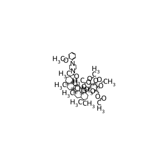 COc1ccccc1N1CCN(C(=O)C2(C)CC[C@]3(C)CC[C@]4(C)C(=CCC5[C@@]6(C)C(O[C@@H]7O[C@H](COC(C)=O)[C@@H](OC(C)=O)[C@@H](OC(C)=O)[C@H]7OC(C)=O)CCC(C)(C)C6CC[C@]54C)[C@@H]3C2)CC1